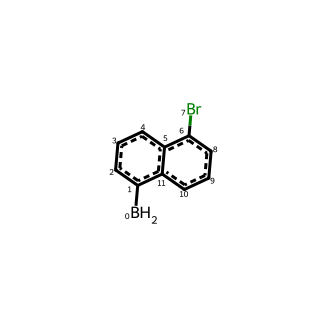 Bc1cccc2c(Br)cccc12